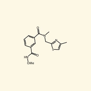 CONC(=O)c1cccc(C(=O)N(C)Cc2nc(C)cs2)c1